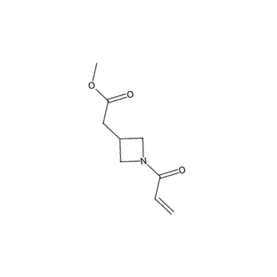 C=CC(=O)N1CC(CC(=O)OC)C1